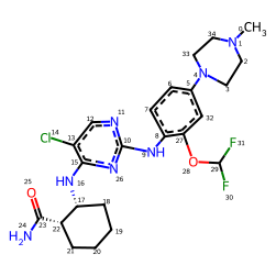 CN1CCN(c2ccc(Nc3ncc(Cl)c(N[C@@H]4CCCC[C@@H]4C(N)=O)n3)c(OC(F)F)c2)CC1